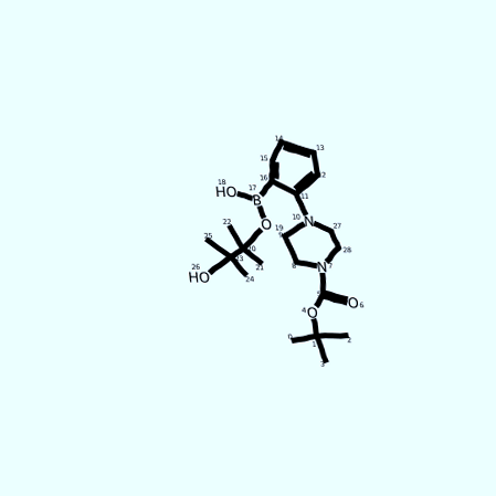 CC(C)(C)OC(=O)N1CCN(c2ccccc2B(O)OC(C)(C)C(C)(C)O)CC1